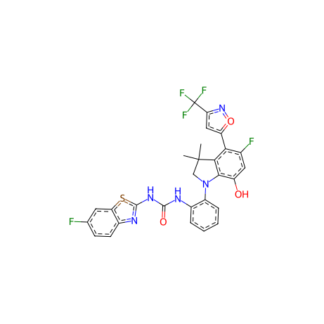 CC1(C)CN(c2ccccc2NC(=O)Nc2nc3ccc(F)cc3s2)c2c(O)cc(F)c(-c3cc(C(F)(F)F)no3)c21